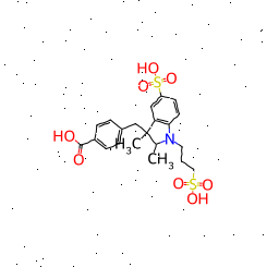 CC1N(CCCS(=O)(=O)O)c2ccc(S(=O)(=O)O)cc2C1(C)Cc1ccc(C(=O)O)cc1